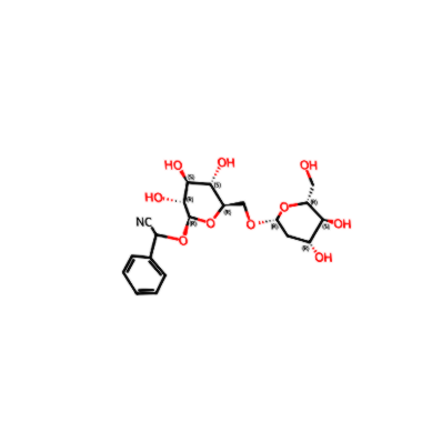 N#CC(O[C@@H]1O[C@H](CO[C@H]2C[C@@H](O)[C@H](O)[C@@H](CO)O2)[C@@H](O)[C@H](O)[C@H]1O)c1ccccc1